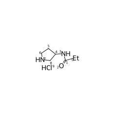 CCC(=O)NC1CCNC1.Cl